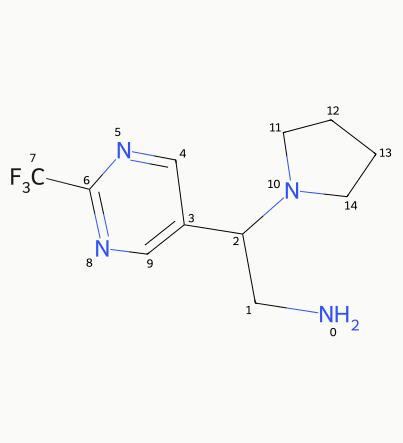 NCC(c1cnc(C(F)(F)F)nc1)N1CCCC1